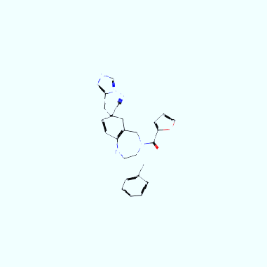 N#CC1(Cc2c[nH]cn2)C=CC2=C(CN(C(=O)c3ccco3)[C@H](Cc3ccccc3)CN2)C1